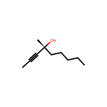 CC#C[C@](C)(O)CCCCC